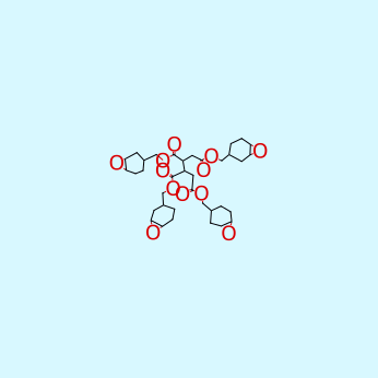 O=C(CC(C(=O)OCC1CCC2OC2C1)C(CC(=O)OCC1CCC2OC2C1)C(=O)OCC1CCC2OC2C1)OCC1CCC2OC2C1